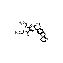 CCOC(=O)C(=CN(CC)c1ccc2c(c1)N1CCCN=C1S2)C(=O)OCC